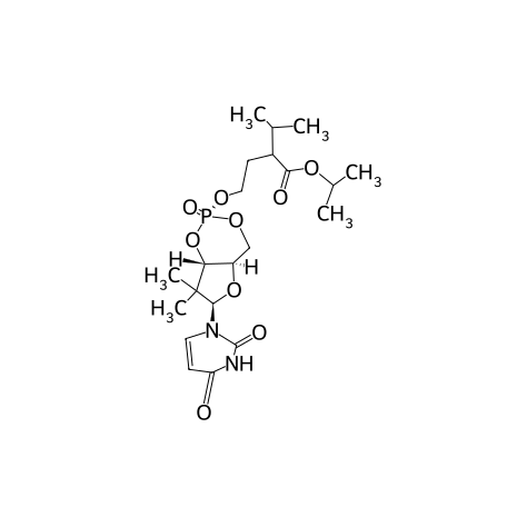 CC(C)OC(=O)C(CCO[P@@]1(=O)OC[C@H]2O[C@@H](n3ccc(=O)[nH]c3=O)C(C)(C)[C@@H]2O1)C(C)C